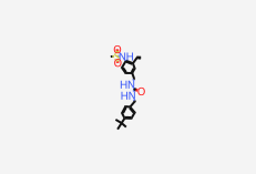 C=Cc1cc(CNC(=O)NCc2ccc(C(C)(C)C)cc2)ccc1NS(C)(=O)=O